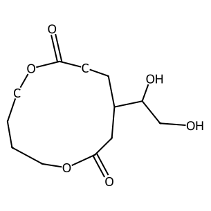 O=C1CCC(C(O)CO)CC(=O)OCCCCO1